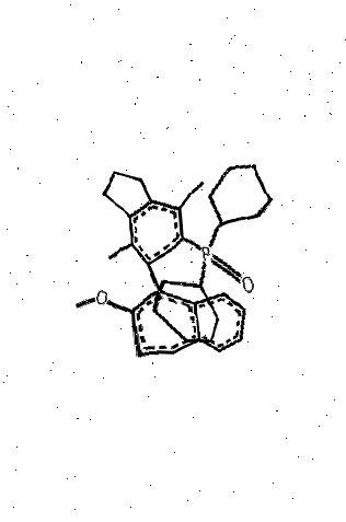 COc1ccc2ccccc2c1-c1c(C)c2c(c(C)c1P(=O)(C1CCCCC1)C1CCCCC1)CCC2